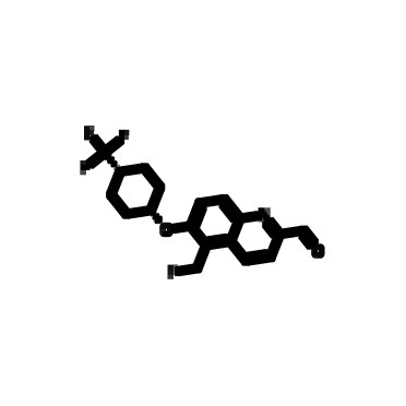 O=Cc1ccc2c(CF)c(O[C@H]3CC[C@@H](C(F)(F)F)CC3)ccc2n1